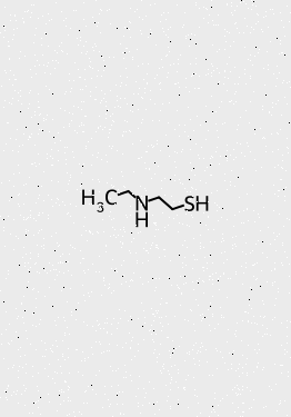 CCNCCS